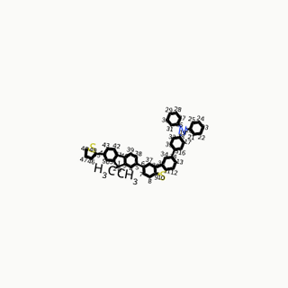 CC1(C)c2cc(-c3ccc4sc5ccc(-c6ccc(N(c7ccccc7)c7ccccc7)cc6)cc5c4c3)ccc2-c2ccc(-c3cccs3)cc21